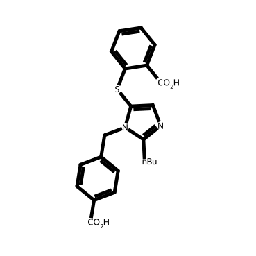 CCCCc1ncc(Sc2ccccc2C(=O)O)n1Cc1ccc(C(=O)O)cc1